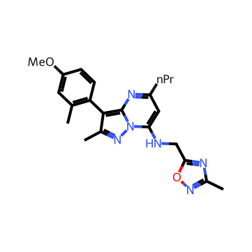 CCCc1cc(NCc2nc(C)no2)n2nc(C)c(-c3ccc(OC)cc3C)c2n1